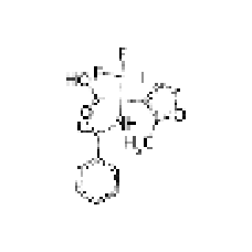 Cc1occc1C(NC(=O)c1ccccc1)(C(=O)O)C(F)(F)F